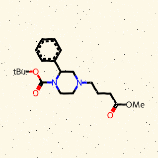 COC(=O)CCCN1CCN(C(=O)OC(C)(C)C)C(c2ccccc2)C1